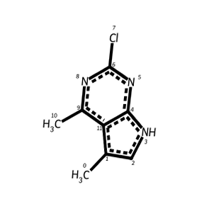 Cc1c[nH]c2nc(Cl)nc(C)c12